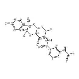 CC(=O)Nc1cccc(C(=O)N[C@@H](C(=O)N2CC[C@](O)(c3ccc(Cl)cc3)C(C)(C)C2)C(C)C)n1